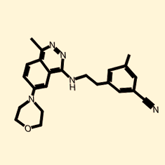 Cc1cc(C#N)cc(CCNc2nnc(C)c3ccc(N4CCOCC4)cc23)c1